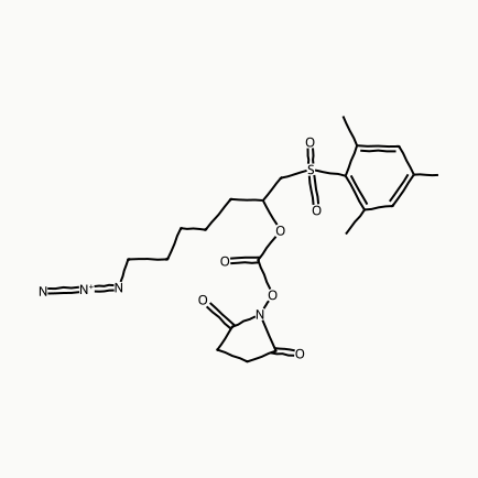 Cc1cc(C)c(S(=O)(=O)CC(CCCCCN=[N+]=[N-])OC(=O)ON2C(=O)CCC2=O)c(C)c1